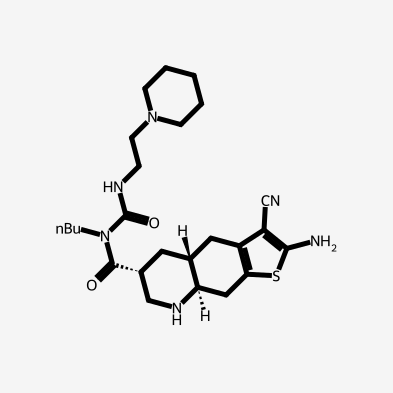 CCCCN(C(=O)NCCN1CCCCC1)C(=O)[C@H]1CN[C@@H]2Cc3sc(N)c(C#N)c3C[C@H]2C1